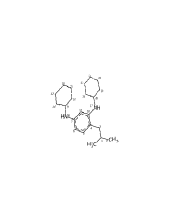 CC(C)Cc1ccc(NC2CCCCC2)cc1NC1CCCCC1